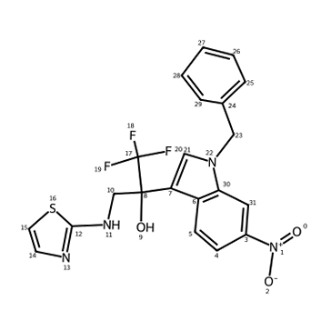 O=[N+]([O-])c1ccc2c(C(O)(CNc3nccs3)C(F)(F)F)cn(Cc3ccccc3)c2c1